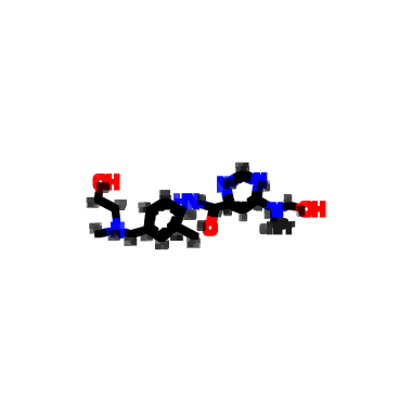 CCCN(CO)c1cc(C(=O)Nc2ccc(CN(C)CCO)cc2C)ncn1